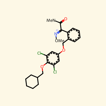 CNC(=O)/C(=N/OC)c1ccccc1COc1cc(Cl)c(OCC2CCCCC2)c(Cl)c1